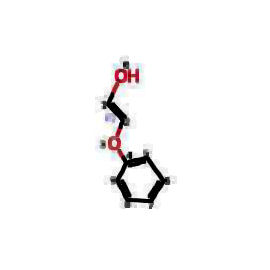 O/C=C/Oc1ccccc1